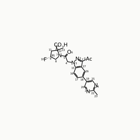 CC(=O)c1nn(CC(=O)N2C[C@H](F)C[C@@]2(C)C(=O)O)c2ccc(-c3cnc(C)nc3)cc12